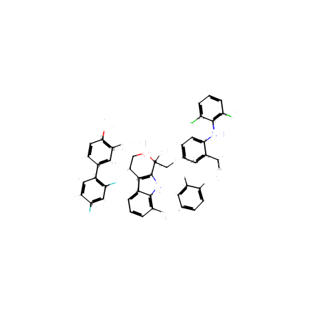 CC(=O)Oc1ccccc1C(=O)O.CCc1cccc2c3c([nH]c12)C(CC)(CC(=O)O)OCC3.O=C(O)Cc1ccccc1Nc1c(Cl)cccc1Cl.O=C(O)c1cc(-c2ccc(F)cc2F)ccc1O